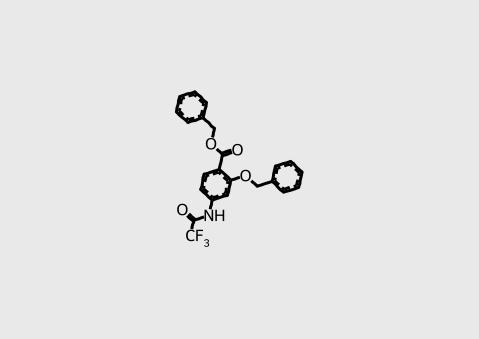 O=C(OCc1ccccc1)c1ccc(NC(=O)C(F)(F)F)cc1OCc1ccccc1